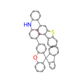 c1ccc(-c2ccc3c(c2)sc2ccccc23)c(Nc2ccc(-c3ccc4c(c3)Oc3ccccc3C43c4ccccc4-c4ccccc43)cc2)c1